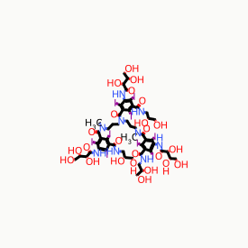 CN(CCCN(CCCN(C)C(=O)c1c(I)c(NC(=O)C(O)C(O)CO)c(I)c(C(=O)NCC(O)CO)c1I)C(=O)c1c(I)c(NC(=O)C(O)C(O)CO)c(I)c(C(=O)NCC(O)CO)c1I)C(=O)c1c(I)c(NC(=O)C(O)C(O)CO)c(I)c(C(=O)NCC(O)CO)c1I